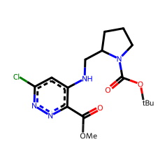 COC(=O)c1nnc(Cl)cc1NCC1CCCN1C(=O)OC(C)(C)C